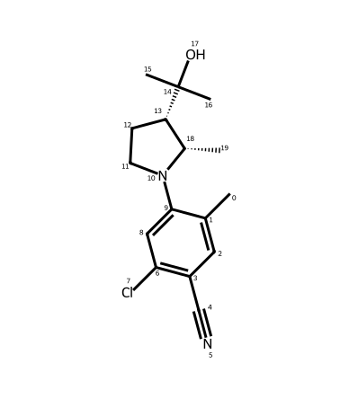 Cc1cc(C#N)c(Cl)cc1N1CC[C@H](C(C)(C)O)[C@@H]1C